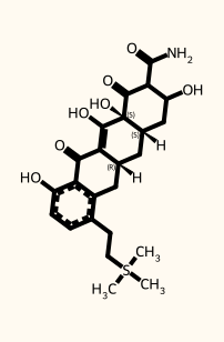 CS(C)(C)CCc1ccc(O)c2c1C[C@H]1C[C@H]3CC(O)C(C(N)=O)C(=O)[C@@]3(O)C(O)=C1C2=O